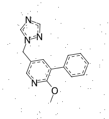 COc1ncc(Cn2cncn2)cc1-c1c[c]ccc1